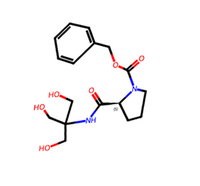 O=C(NC(CO)(CO)CO)[C@@H]1CCCN1C(=O)OCc1ccccc1